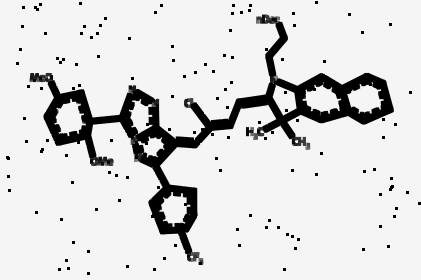 CCCCCCCCCCCCN1/C(=C/C=C(Cl)/C=c2/c(-c3ccc(C(F)(F)F)cc3)nn3c(-c4cc(OC)ccc4OC)nnc23)C(C)(C)c2cc3ccccc3cc21